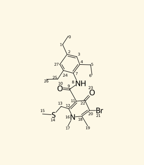 CCc1cc(CC)c(NC(=O)c2c(CSC)n(C)c(C)c(Br)c2=O)c(CC)c1